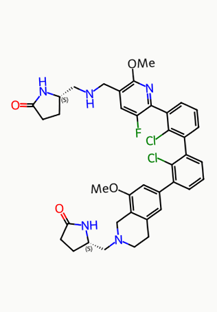 COc1cc(-c2cccc(-c3cccc(-c4nc(OC)c(CNC[C@@H]5CCC(=O)N5)cc4F)c3Cl)c2Cl)cc2c1CN(C[C@@H]1CCC(=O)N1)CC2